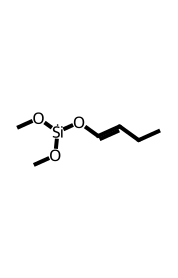 CCC=CO[Si](OC)OC